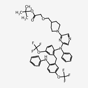 CC(C)(C)OC(=O)COCC1CCN(c2cncc(N(c3ccccc3)c3ccc(OC(F)(F)F)cc3Cc3cc(OC(F)(F)F)ccc3Nc3ccccc3)n2)CC1